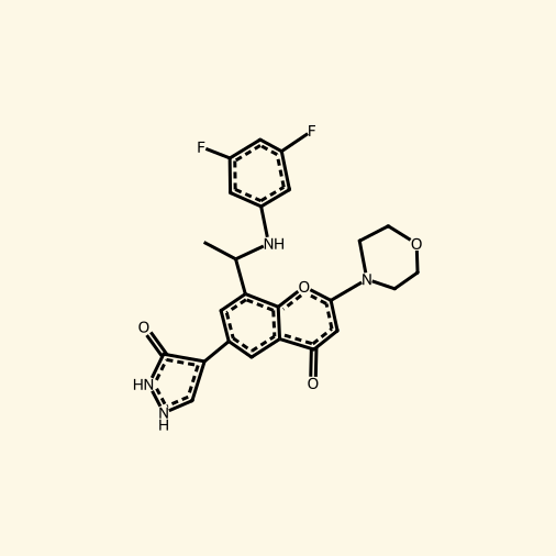 CC(Nc1cc(F)cc(F)c1)c1cc(-c2c[nH][nH]c2=O)cc2c(=O)cc(N3CCOCC3)oc12